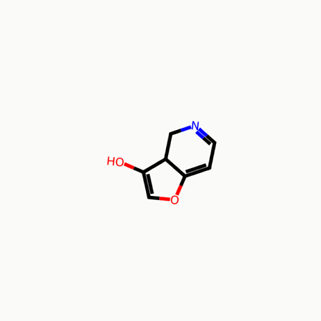 OC1=COC2=CC=NCC12